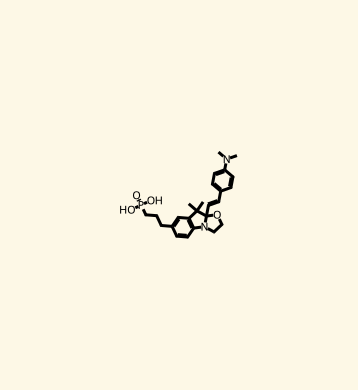 CN(C)c1ccc(C=CC23OCCN2c2ccc(CCCP(=O)(O)O)cc2C3(C)C)cc1